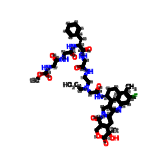 CC[C@@]1(O)C(=O)OCc2c1cc1n(c2=O)Cc2c-1nc1cc(F)c(C)c3c1c2[C@@H](NC(=O)CN(CCNC(=O)CNC(=O)[C@H](Cc1ccccc1)NC(=O)CNC(=O)CNC(=O)OC(C)(C)C)CC(=O)O)CC3